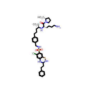 NCCCC[C@H](N[C@@H](CCCc1ccc(CNS(=O)(=O)c2cc3c(cc2Cl)NC(CCc2ccccc2)NS3)cc1)C(=O)O)C(=O)N1CCC[C@H]1C(=O)O